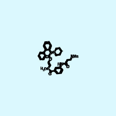 CNCCC(=O)Nc1cccc(C(=O)N(C)CCOC(=O)N(c2ccccc2-c2ccccc2)N2CC[CH]CC2)c1